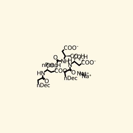 CCCCCC(=O)N[C@@H](CC(=O)[O-])C(=O)O.CCCCCCCCCCCC(=O)N[C@@H](CC(=O)[O-])C(=O)O.CCCCCCCCCCCC(=O)N[C@@H](CC(=O)[O-])C(=O)O.[Na+].[Na+].[Na+]